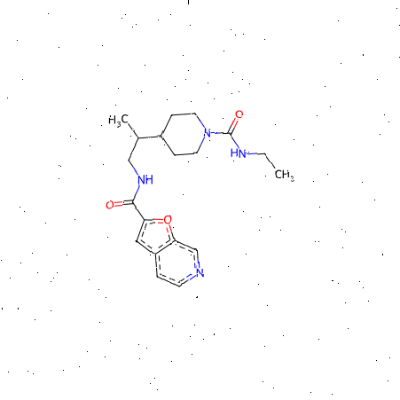 CCNC(=O)N1CCC(C(C)CNC(=O)c2cc3ccncc3o2)CC1